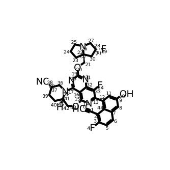 C#Cc1c(F)ccc2cc(O)cc(-c3nc4c5c(nc(OC[C@@]67CCCN6C[C@H](F)C7)nc5c3F)N3C[C@H](C#N)CC[C@H]3CO4)c12